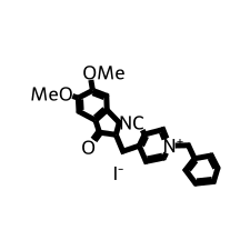 COc1cc2c(cc1OC)C(=O)C(Cc1cc[n+](Cc3ccccc3)cc1C#N)C2.[I-]